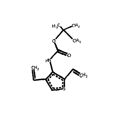 C=Cc1csc(C=C)c1NC(=O)OC(C)(C)C